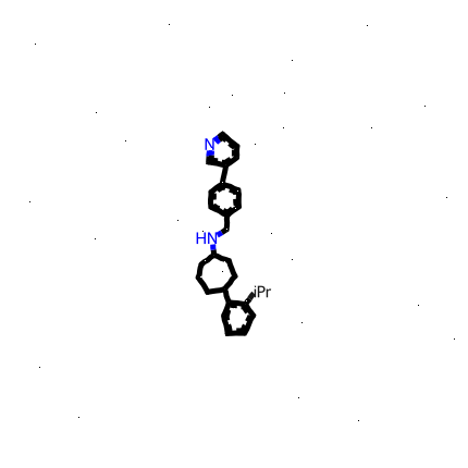 CC(C)c1ccccc1C1CCCC(NCc2ccc(-c3cccnc3)cc2)CC1